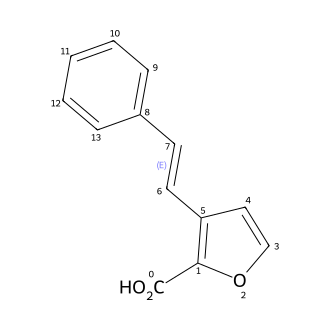 O=C(O)c1occc1/C=C/c1ccccc1